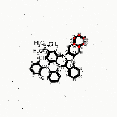 Cc1cccc(C)c1N1c2ccccc2B2c3c1cc([Si](C)(C)C)cc3-n1c3c(n4c5ccccc5c2c14)C1c2ccccc2C3c2ccccc21